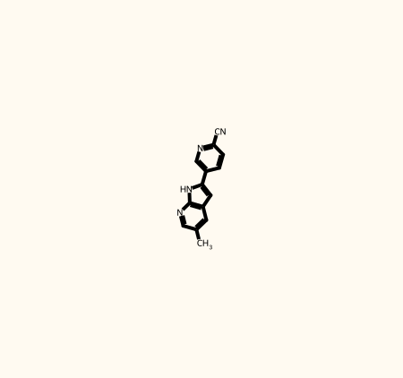 Cc1cnc2[nH]c(-c3ccc(C#N)nc3)cc2c1